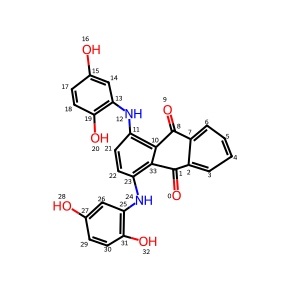 O=C1c2ccccc2C(=O)c2c(Nc3cc(O)ccc3O)ccc(Nc3cc(O)ccc3O)c21